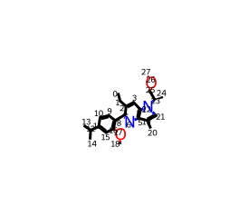 CCc1cc2c(nc1-c1ccc(C(C)C)cc1OC)c(C)cn2[C@H](C)COC